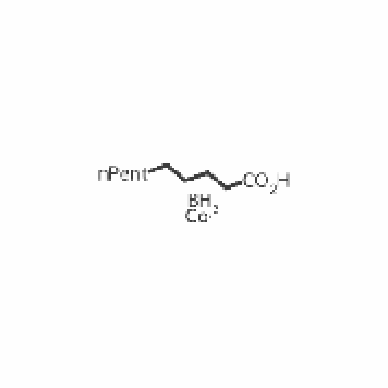 B.CCCCCCCCCC(=O)O.[Co]